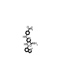 CN(C)C(=O)c1ccc(Nc2cc(NCc3cccc4ccn(C)c34)c(C(N)=O)cn2)cc1